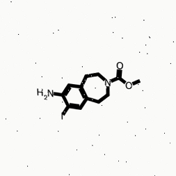 COC(=O)N1CCc2cc(N)c(I)cc2CC1